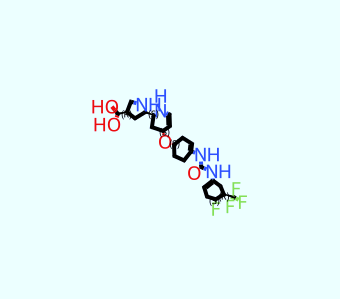 O=C(NC1=CC[C@@H](O[C@@H]2C=CN[C@H](C3C[C@@H](C(O)O)CN3)C2)CC1)NC1=CC[C@H](F)[C@H](C(F)(F)F)C1